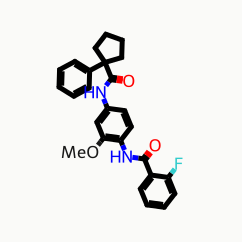 COc1cc(NC(=O)C2(c3ccccc3)CCCC2)ccc1NC(=O)c1ccccc1F